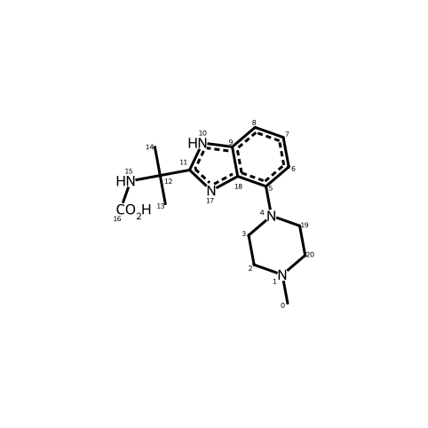 CN1CCN(c2cccc3[nH]c(C(C)(C)NC(=O)O)nc23)CC1